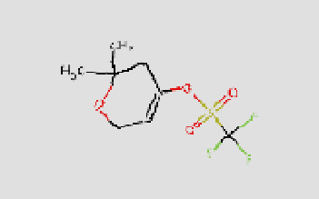 CC1(C)CC(OS(=O)(=O)C(F)(F)F)=CCO1